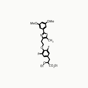 CCOC(=O)C(Cc1cc(F)c(OCCc2nc(-c3cc(OC)cc(OC)c3)sc2C)c(F)c1)OCC